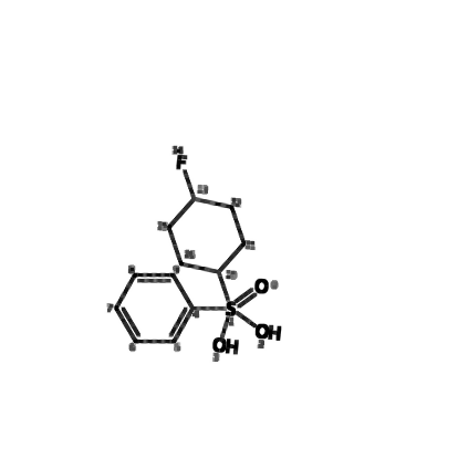 O=S(O)(O)(c1ccccc1)C1CCC(F)CC1